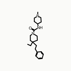 CCC1(CCc2ccccc2)CCN(C(=O)NC2CCN(C)CC2)CC1